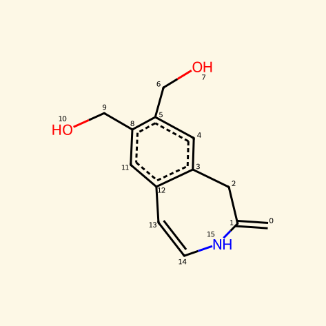 C=C1Cc2cc(CO)c(CO)cc2C=CN1